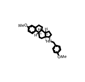 COc1ccc(CN[C@@H]2CC[C@H]3[C@@H]4CCc5cc(OC)ccc5[C@H]4CC[C@]23C)cc1